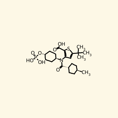 CC(C)(C)c1cc(N(C(=O)[C@H]2CC[C@H](C)CC2)[C@H]2CC[C@H](OP(=O)(O)O)CC2)c(C(=O)O)s1